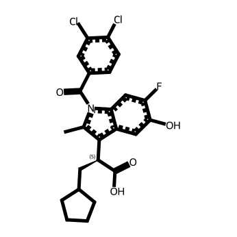 Cc1c([C@H](CC2CCCC2)C(=O)O)c2cc(O)c(F)cc2n1C(=O)c1ccc(Cl)c(Cl)c1